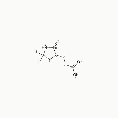 CC1(C)CC(CCC(=O)O)C(=O)N1